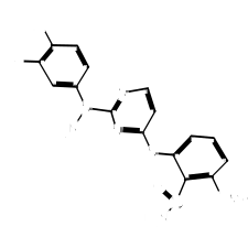 COc1cccc(Nc2ccnc(N(N)c3ccc(C)c(C)c3)n2)c1S(N)(=O)=O